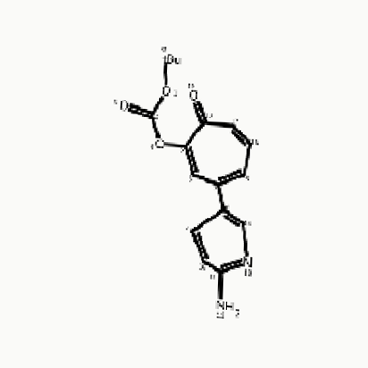 CC(C)(C)OC(=O)Oc1cc(-c2ccc(N)nc2)cccc1=O